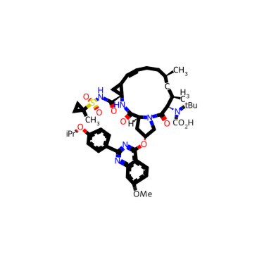 COc1ccc2c(O[C@@H]3C[C@H]4C(=O)N[C@]5(C(=O)NS(=O)(=O)C6(C)CC6)CC5/C=C\CC[C@@H](C)C[C@@H](C)[C@H](N(C(=O)O)C(C)(C)C)C(=O)N4C3)nc(-c3ccc(OC(C)C)cc3)nc2c1